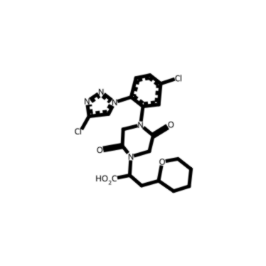 O=C(O)C(CC1CCCCO1)N1CC(=O)N(c2cc(Cl)ccc2-n2cc(Cl)nn2)CC1=O